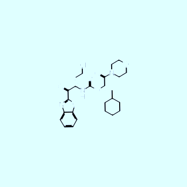 CCC[C@H](NC(=O)O[C@@H](CC1CCCCC1)C(=O)N1CCOCC1)C(=O)c1nc2ccccc2o1